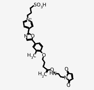 C=C(CCCOc1ccc(-c2cnc(-c3cc[n+](CCCS(=O)(=O)O)cc3)o2)cc1C)ONCCN1C(=O)C=CC1=O